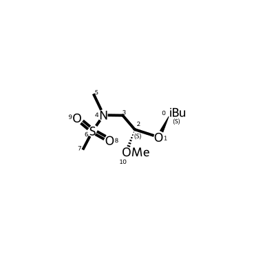 CC[C@H](C)O[C@@H](CN(C)S(C)(=O)=O)OC